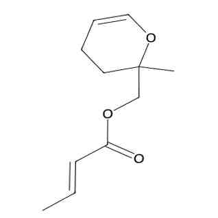 CC=CC(=O)OCC1(C)CCC=CO1